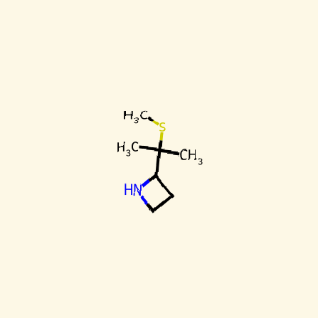 CSC(C)(C)C1CCN1